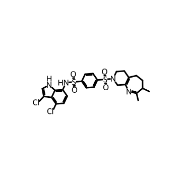 CC1=NC2=C(CCC1C)CCN(S(=O)(=O)c1ccc(S(=O)(=O)Nc3ccc(Cl)c4c(Cl)c[nH]c34)cc1)C2